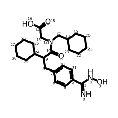 N=C(NO)c1ccc(CC(C(=O)N(CC(=O)O)CC2CCCCC2)C2CCCCC2)cc1